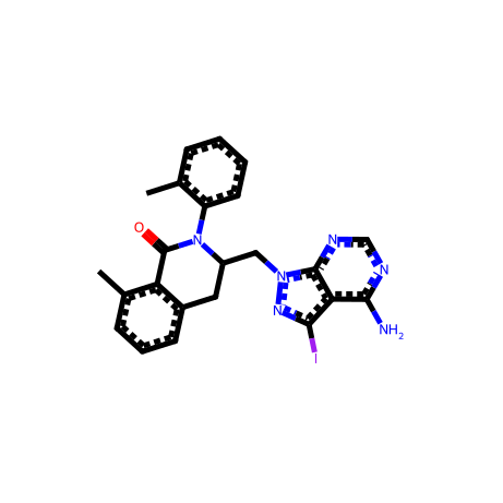 Cc1ccccc1N1C(=O)c2c(C)cccc2CC1Cn1nc(I)c2c(N)ncnc21